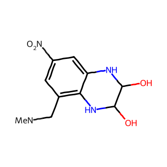 CNCc1cc([N+](=O)[O-])cc2c1NC(O)C(O)N2